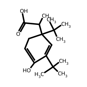 CC(C(=O)O)C1(C(C)(C)C)C=C(C(C)(C)C)C(O)=CC1